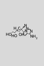 C[C@@](C#N)(c1ccc2c(N)ncnn12)[C@H](O)C[C@H](O)CO